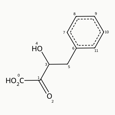 O=C(O)C(=O)C(O)Cc1ccccc1